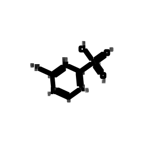 O=S(=O)(Cl)c1ncnc(F)n1